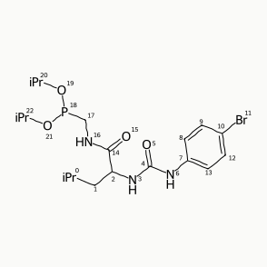 CC(C)CC(NC(=O)Nc1ccc(Br)cc1)C(=O)NCP(OC(C)C)OC(C)C